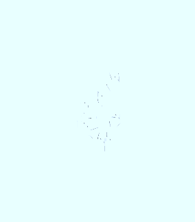 COC1(C(=O)Nc2ccc3[nH]nc(-c4ccnc(C)c4)c3c2)CCN(CC(=O)N2CC=C(C3=CCC=N3)CC2)C1